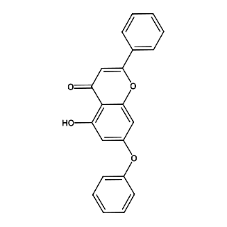 O=c1cc(-c2ccccc2)oc2cc(Oc3ccccc3)cc(O)c12